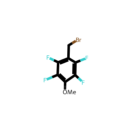 COc1c(F)c(F)c(CBr)c(F)c1F